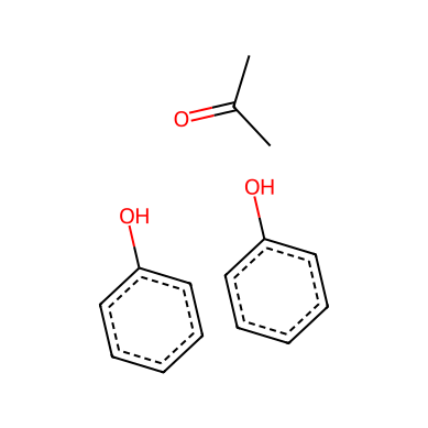 CC(C)=O.Oc1ccccc1.Oc1ccccc1